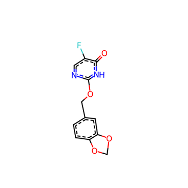 O=c1[nH]c(OCc2ccc3c(c2)OCO3)ncc1F